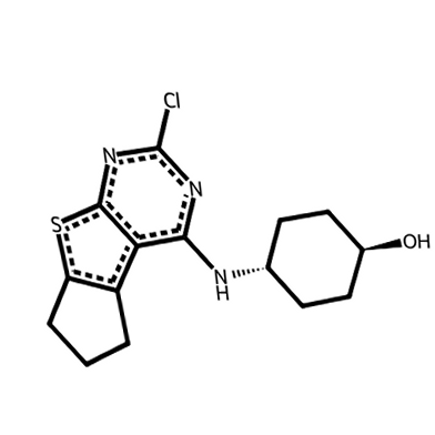 O[C@H]1CC[C@H](Nc2nc(Cl)nc3sc4c(c23)CCC4)CC1